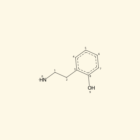 [NH]CCc1ccccc1O